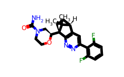 CC1(C)[C@H]2CC[C@]1([C@@H]1CN(C(N)=O)CCO1)c1nnc(-c3c(F)cccc3F)cc12